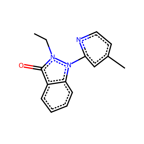 CCn1c(=O)c2ccccc2n1-c1cc(C)ccn1